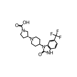 O=C(O)N1CC[C@H](N2CCC(n3c(=O)[nH]c4ccc(C(F)(F)F)cc43)CC2)C1